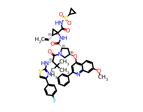 C=C[C@@H]1C[C@]1(NC(=O)[C@@H]1C[C@@H](Oc2cc(-c3ccccc3)nc3cc(OC)ccc23)CN1C(=O)[C@@H](Nc1nc(-c2ccc(F)cc2)cs1)C(C)(C)C)C(=O)NS(=O)(=O)C1CC1